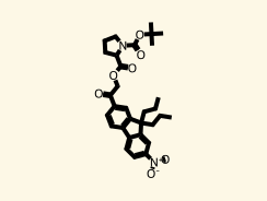 CCCC1(CCC)c2cc(C(=O)COC(=O)C3CCCN3C(=O)OC(C)(C)C)ccc2-c2ccc([N+](=O)[O-])cc21